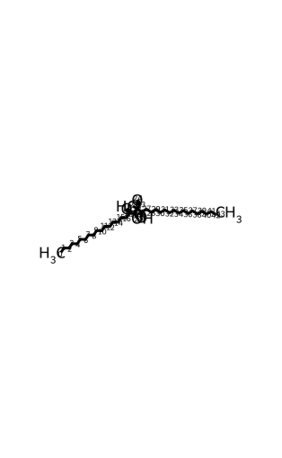 CCCCCCCCCCCCCCCCCC(=O)C(O)C(O)([C]=O)C(=O)CCCCCCCCCCCCCCCCC